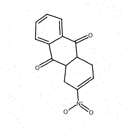 O=C1c2ccccc2C(=O)C2CC([N+](=O)[O-])=CCC12